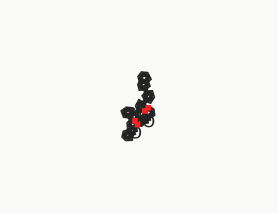 c1cc(-c2ccc(N(c3ccccc3-c3ccc4oc5ccccc5c4c3)c3cccc4oc5ccccc5c34)cc2)cc(-c2ccc3ccccc3c2)c1